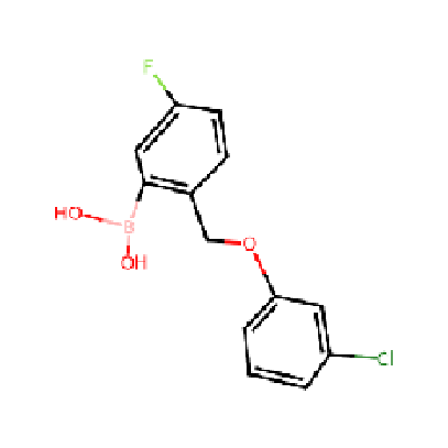 OB(O)c1cc(F)ccc1COc1cccc(Cl)c1